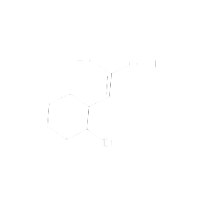 CCC1CCCCC1/C=C(\C)C(=O)O